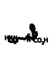 O=C(O)C[C@H](c1cccc(N2CCOCC2)c1)c1nc(CCCCc2ccc3c(n2)NCCC3)cs1